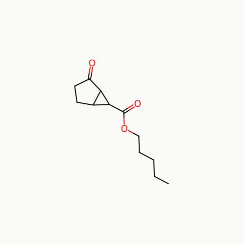 CCCCCOC(=O)C1C2CCC(=O)C21